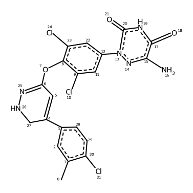 Cc1cc(C2=CC(Oc3c(Cl)cc(-n4nc(N)c(=O)[nH]c4=O)cc3Cl)=NNC2)ccc1Cl